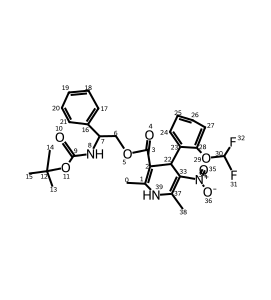 CC1=C(C(=O)OCC(NC(=O)OC(C)(C)C)c2ccccc2)C(c2ccccc2OC(F)F)C([N+](=O)[O-])=C(C)N1